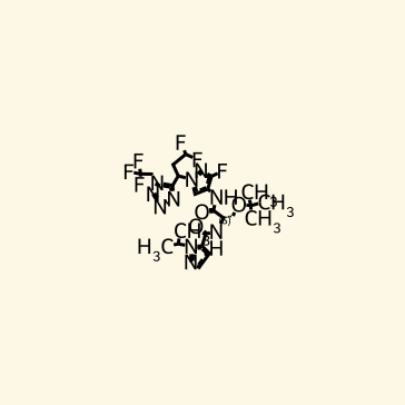 CC(C)n1nccc1C(=O)N[C@@H](COC(C)(C)C)C(=O)Nc1cn(C(CC(F)F)c2nnnn2CC(F)(F)F)nc1F